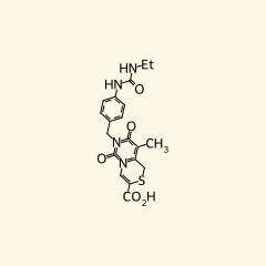 CCNC(=O)Nc1ccc(Cn2c(=O)c(C)c3n(c2=O)C=C(C(=O)O)SC3)cc1